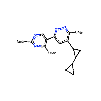 COc1ncc(-c2cc(C3CC3C3CC3)c(OC)nn2)c(OC)n1